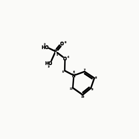 O=P(O)(O)OCN1C=CC=CC1